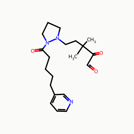 CC(C)(CCN1CCCN1C(=O)CCCCc1cccnc1)C(=O)C=O